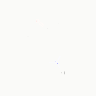 CC(=O)C1(C)CCN(C)CC1